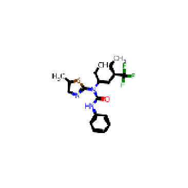 CCC(CC(CC)C(F)(F)F)N(C(=O)Nc1ccccc1)C1=NCC(C)S1